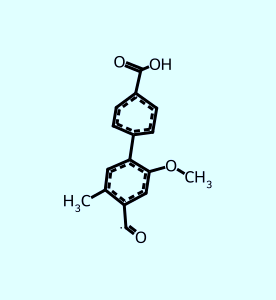 COc1cc([C]=O)c(C)cc1-c1ccc(C(=O)O)cc1